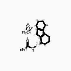 CCCC(=O)[O][Ti+2][CH]1CCCC2=C1CC1=C2CCCC1.C[O-].C[O-]